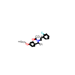 CCCCCCCCOc1ccc(C(CC)N(CCc2ccccc2F)C(=O)C(=O)O)cc1